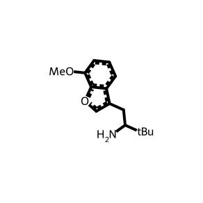 COc1cccc2c(CC(N)C(C)(C)C)coc12